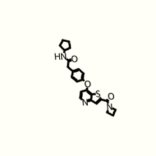 O=C(Cc1ccc(Oc2ccnc3cc(C(=O)N4CCC4)sc23)cc1)NC1CCCC1